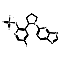 O=S(=O)(Oc1ncc(F)cc1C1CCCN1c1ccc2nc[nH]c2n1)C(F)(F)F